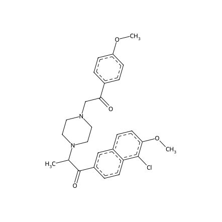 COc1ccc(C(=O)CN2CCN(C(C)C(=O)c3ccc4c(Cl)c(OC)ccc4c3)CC2)cc1